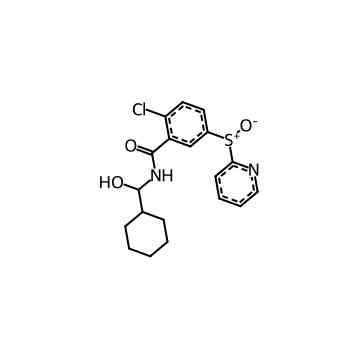 O=C(NC(O)C1CCCCC1)c1cc([S+]([O-])c2ccccn2)ccc1Cl